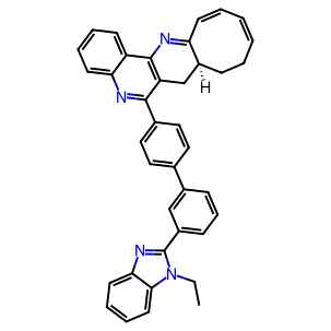 CCn1c(-c2cccc(-c3ccc(-c4nc5ccccc5c5c4C[C@@H]4CC/C=C\C=C/C4=N5)cc3)c2)nc2ccccc21